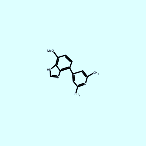 COc1ccc(-c2cc(C)nc(C)c2)c2nc[nH]c12